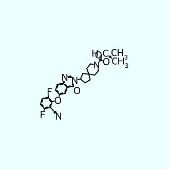 CC(C)(C)OC(=O)N1CCC2(CCC(n3cnc4ccc(Oc5c(F)ccc(F)c5C#N)cc4c3=O)C2)CC1